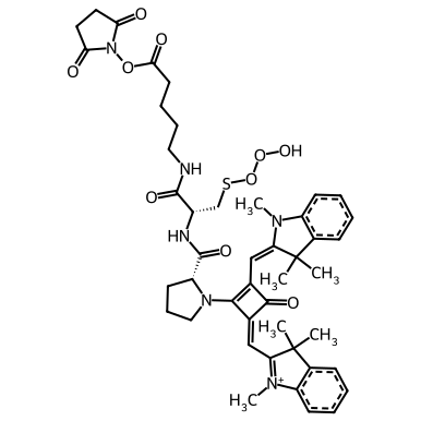 CN1/C(=C/C2=C(N3CCC[C@@H]3C(=O)N[C@@H](CSOOO)C(=O)NCCCCC(=O)ON3C(=O)CCC3=O)C(=C/C3=[N+](C)c4ccccc4C3(C)C)/C2=O)C(C)(C)c2ccccc21